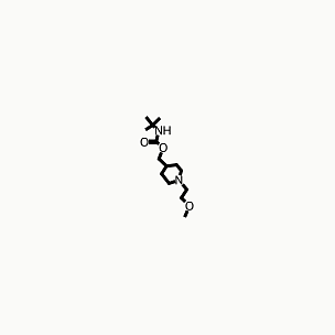 COCCN1CCC(COC(=O)NC(C)(C)C)CC1